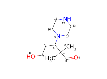 CC(C)(C=O)C(CCO)N1CCNCC1